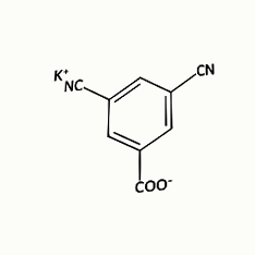 N#Cc1cc(C#N)cc(C(=O)[O-])c1.[K+]